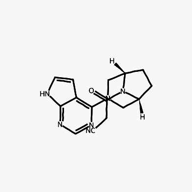 N#CCC(=O)N1[C@@H]2CC[C@H]1CN(c1ncnc3[nH]ccc13)C2